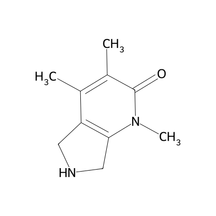 Cc1c2c(n(C)c(=O)c1C)CNC2